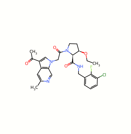 CCO[C@@H]1CCN(C(=O)Cn2cc(C(C)=O)c3cc(C)ncc32)[C@@H]1C(=O)NCc1cccc(Cl)c1F